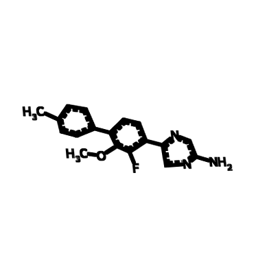 COc1c(-c2ccc(C)cc2)ccc(-c2cnc(N)cn2)c1F